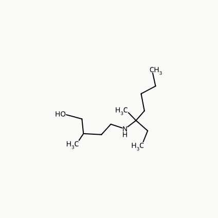 CCCCC(C)(CC)NCCC(C)CO